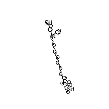 O=C1CCC(N2C(=O)c3ccc(OCCOCCOCCOCCOCCOCCCn4cc(-c5ccc6c(c5)CC/C6=N\O)c(-c5ccncc5)n4)cc3C2=O)C(=O)N1